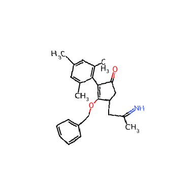 CC(=N)CC1CC(=O)C(c2c(C)cc(C)cc2C)=C1OCc1ccccc1